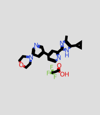 Cc1nc(-c2cc(-c3cncc(N4CCOCC4)c3)ccn2)[nH]c1C1CC1.O=C(O)C(F)(F)F